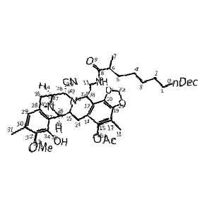 CCCCCCCCCCCCCCCC(C)C(=O)NC[C@H]1c2c(c(OC(C)=O)c(C)c3c2OCO3)CC2[C@H]3c4c(cc(C)c(OC)c4O)C[C@@H]([C@H](C#N)N21)N3C